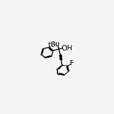 CC(C)(C)C(O)(C#Cc1ccccc1F)c1ccccc1